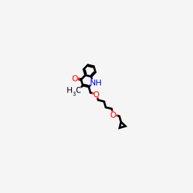 Cc1c(COCCCCOCC2CC2)[nH]c2ccccc2c1=O